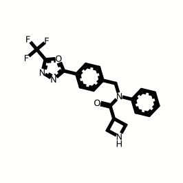 O=C(C1CNC1)N(Cc1ccc(-c2nnc(C(F)(F)F)o2)cc1)c1ccccc1